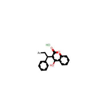 CC(=O)CC(c1ccccc1)c1c(O)c2ccccc2oc1=O.Cl